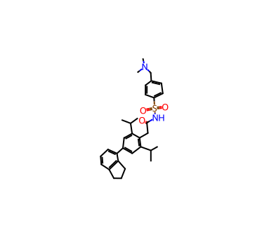 CC(C)c1cc(-c2cccc3c2CCC3)cc(C(C)C)c1CC(=O)NS(=O)(=O)c1ccc(CN(C)C)cc1